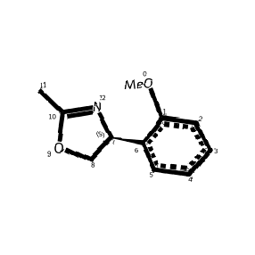 COc1ccccc1[C@H]1COC(C)=N1